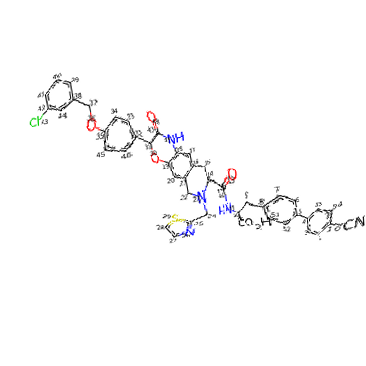 N#Cc1ccc(-c2ccc(C[C@H](NC(=O)C3Cc4cc5c(cc4CN3Cc3nccs3)OC(c3ccc(OCc4cccc(Cl)c4)cc3)C(=O)N5)C(=O)O)cc2)cc1